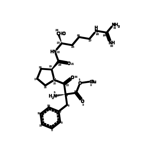 CC(C)(C)OC(=O)[C@@](N)(Cc1ccccc1)C(=O)N1CCC[C@H]1C(=O)N[C@H](C=O)CCCNC(=N)N